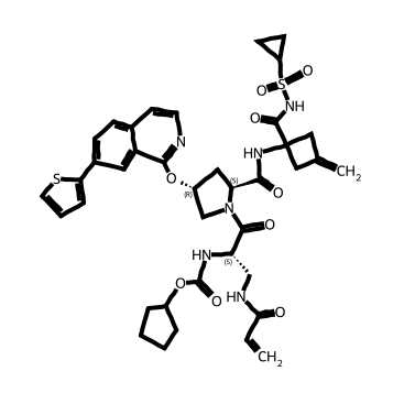 C=CC(=O)NC[C@H](NC(=O)OC1CCCC1)C(=O)N1C[C@H](Oc2nccc3ccc(-c4cccs4)cc23)C[C@H]1C(=O)NC1(C(=O)NS(=O)(=O)C2CC2)CC(=C)C1